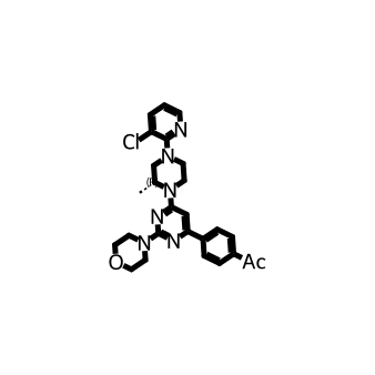 CC(=O)c1ccc(-c2cc(N3CCN(c4ncccc4Cl)C[C@H]3C)nc(N3CCOCC3)n2)cc1